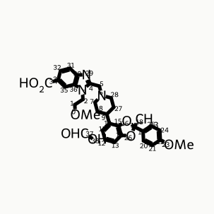 COCCn1c(CN2CCC(c3cccc4c3OC(C)(c3ccc(OC)cc3)O4)CC2)nc2ccc(C(=O)O)cc21.O=CO